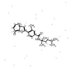 Cc1cc(C(=O)NC(C)(C)CCN(C)C)cnc1-c1cc2nccc(Cl)c2o1